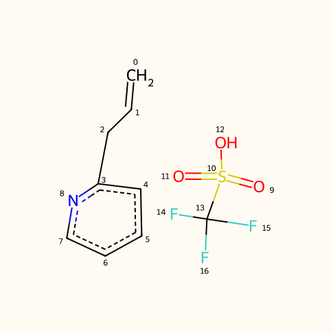 C=CCc1ccccn1.O=S(=O)(O)C(F)(F)F